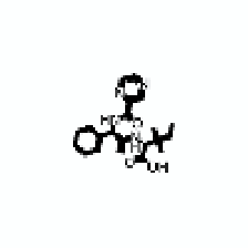 C=C(N[C@H](C(=O)O)C(C)(C)CC)C(NC(=O)c1cnccn1)C1CCCCC1